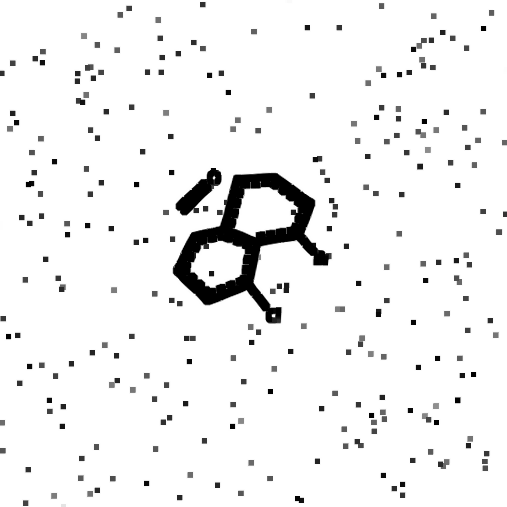 C=O.Clc1cccc2cccc(Br)c12